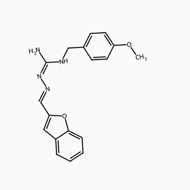 COc1ccc(CNC(N)=NN=Cc2cc3ccccc3o2)cc1